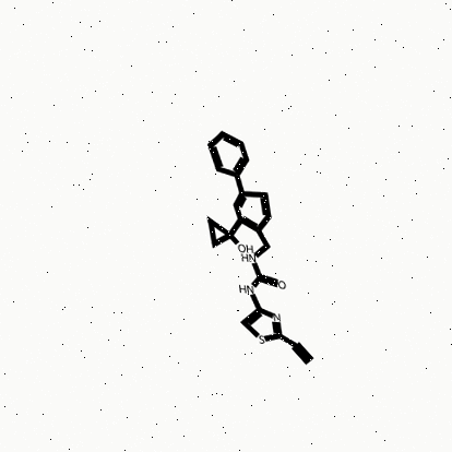 C#Cc1nc(NC(=O)NCc2ccc(-c3ccccc3)cc2C2(O)CC2)cs1